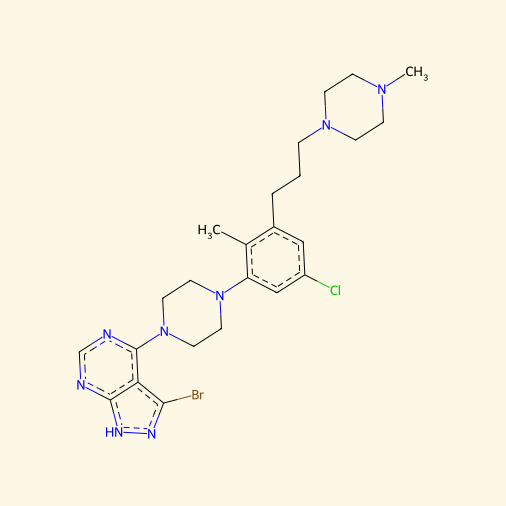 Cc1c(CCCN2CCN(C)CC2)cc(Cl)cc1N1CCN(c2ncnc3[nH]nc(Br)c23)CC1